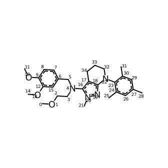 COCCN(Cc1ccc(OC)c(OC)c1)c1c2c(nn1C)N(c1c(C)cc(C)cc1C)CCC2